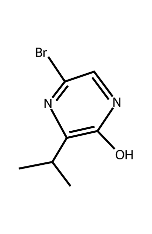 CC(C)c1nc(Br)cnc1O